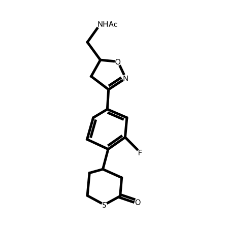 CC(=O)NCC1CC(c2ccc(C3CCSC(=O)C3)c(F)c2)=NO1